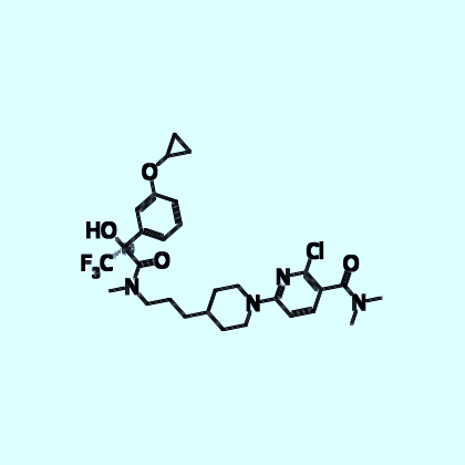 CN(C)C(=O)c1ccc(N2CCC(CCCN(C)C(=O)[C@@](O)(c3cccc(OC4CC4)c3)C(F)(F)F)CC2)nc1Cl